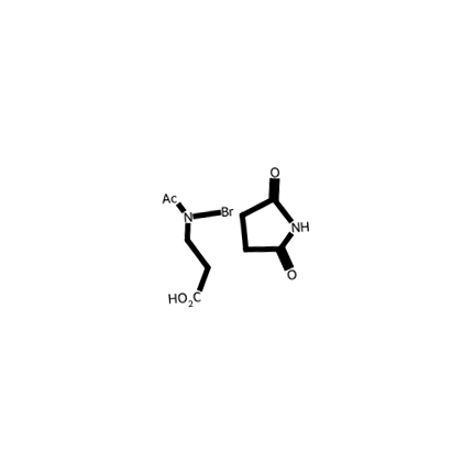 CC(=O)N(Br)CCC(=O)O.O=C1CCC(=O)N1